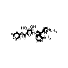 Cn1ccc(-c2cn([C@@H]3O[C@H](C(=O)NC4CCOCC4)[C@@H](O)[C@H]3O)c3ncnc(N)c23)n1